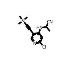 CC(C#N)Nc1cc(Cl)ncc1C#C[Si](C)(C)C